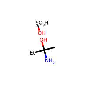 CCC(C)(N)O.O=S(=O)(O)O